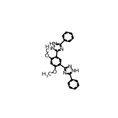 COc1cc(OC)c(-c2n[nH]c(-c3ccccc3)n2)cc1-c1n[nH]c(-c2ccccc2)n1